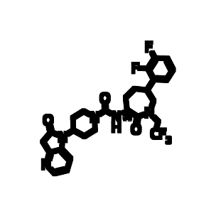 O=C(N[C@@H]1CCC(c2cccc(F)c2F)CN(CC(F)(F)F)C1=O)N1CCC(N2C(=O)Cc3ncccc32)CC1